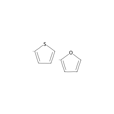 [c]1ccco1.[c]1cccs1